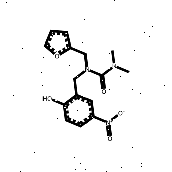 CN(C)C(=O)N(Cc1ccco1)Cc1cc([N+](=O)[O-])ccc1O